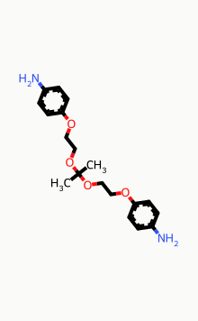 CC(C)(OCCOc1ccc(N)cc1)OCCOc1ccc(N)cc1